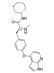 CN[C@@H](Cc1ccc(Oc2ccnc3[nH]ccc23)cc1)C(=O)NC1CCCCC1